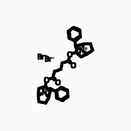 C[N+]1(Cc2ccccc2)C2CCC1CC(OC(=O)CCCC(=O)OC1CC3CCC(C1)[N+]3(C)Cc1ccccc1)C2.[Br-].[Br-]